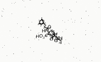 O=C(CSc1ccccc1)NC1=C(C(=O)O)N2C(=O)C(NC(=O)CI)[C@H]2SC1